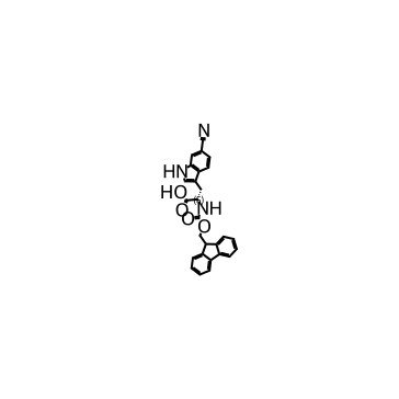 N#Cc1ccc2c(C[C@H](NC(=O)OCC3c4ccccc4-c4ccccc43)C(=O)O)c[nH]c2c1